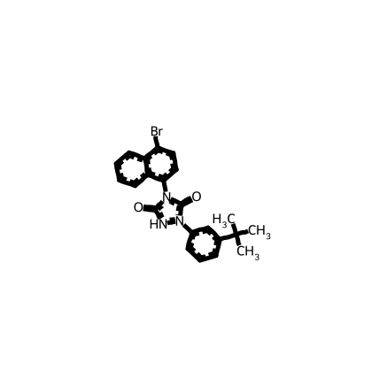 CC(C)(C)c1cccc(-n2[nH]c(=O)n(-c3ccc(Br)c4ccccc34)c2=O)c1